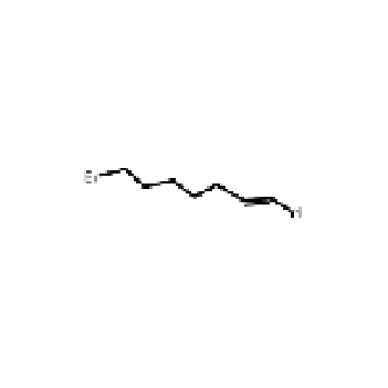 ClC=CCCCCCBr